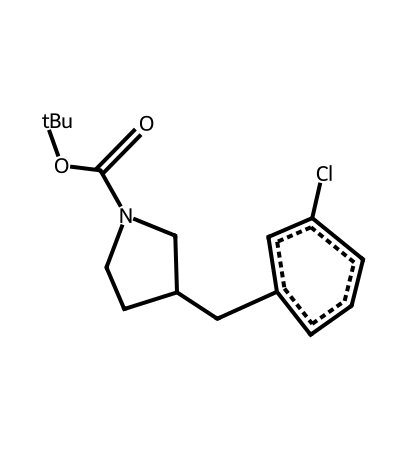 CC(C)(C)OC(=O)N1CCC(Cc2cccc(Cl)c2)C1